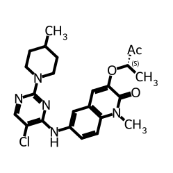 CC(=O)[C@H](C)Oc1cc2cc(Nc3nc(N4CCC(C)CC4)ncc3Cl)ccc2n(C)c1=O